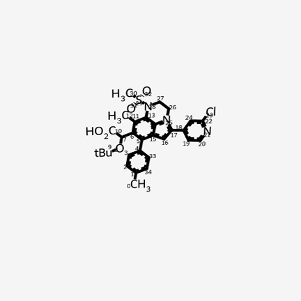 Cc1ccc(-c2c(C(OC(C)(C)C)C(=O)O)c(C)c3c4c2cc(-c2ccnc(Cl)c2)n4CCN3S(C)(=O)=O)cc1